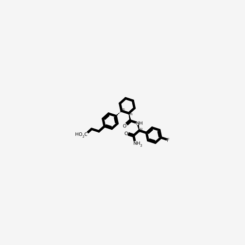 NC(=O)[C@@H](NC(=O)[C@@H]1CCCC[C@H]1c1ccc(CCC(=O)O)cc1)c1ccc(F)cc1